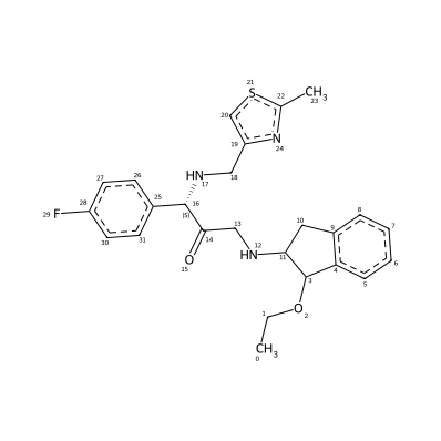 CCOC1c2ccccc2CC1NCC(=O)[C@@H](NCc1csc(C)n1)c1ccc(F)cc1